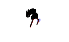 CCCCCCCCC=CCCCCCCCC(=O)OCC(COC(=O)CCCCCCC/C=C\CCCCCCCC)OC(=O)CC(C)CCCCC(=O)OC(C)OC(=O)O[C@H]1CC[C@@]2(C)[C@@H](CC[C@@H]3[C@@H]2CC[C@]2(C)[C@@H](C(C)=O)CC[C@@H]32)C1